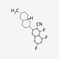 C[C@@H]1CC[C@@H]2CC(c3cc4cc(F)cc(F)c4c(F)c3C#N)CCC2C1